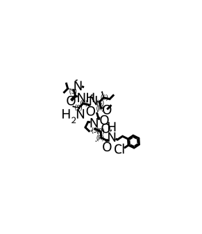 CC[C@H](C)[C@@H]([C@@H](CC(=O)N1CCC[C@H]1[C@H](OC)[C@@H](C)C(=O)NCCc1ccccc1Cl)OC)N(C)C(=O)[C@H](NC(=O)[C@H](C(C)C)N(C)C)[C@H](C)N